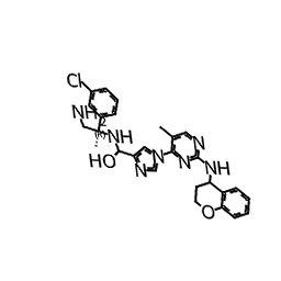 Cc1cnc(NC2CCOc3ccccc32)nc1-n1cnc(C(O)N[C@@](C)(CN)c2cccc(Cl)c2)c1